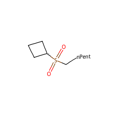 CCCCCCS(=O)(=O)[C]1CCC1